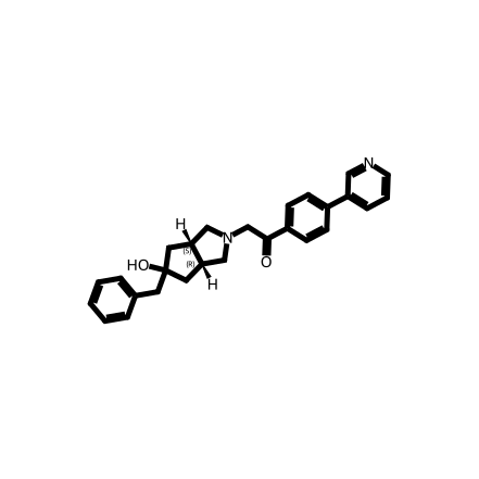 O=C(CN1C[C@@H]2CC(O)(Cc3ccccc3)C[C@@H]2C1)c1ccc(-c2cccnc2)cc1